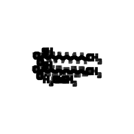 CCCCCCCCCCCCC(S)C(=O)[O-].CCCCCCCCCCCCC(S)C(=O)[O-].[CH3][Sn+2][CH3]